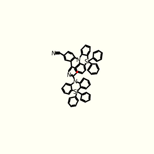 N#Cc1ccc(N2c3ccccc3[Si](c3ccccc3)(c3ccccc3)c3ccccc32)c(-c2ccc(N3c4ccccc4[Si](c4ccccc4)(c4ccccc4)c4ccccc43)nc2)c1